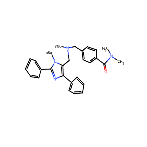 CCCCN(Cc1ccc(C(=O)N(C)C)cc1)Cc1c(-c2ccccc2)nc(-c2ccccc2)n1CCCC